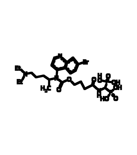 CCN(CC)CCCC(C)N(C(=O)OCCCC(=O)NC(P(=O)(O)O)P(=O)(O)O)c1ccnc2cc(Br)ccc12